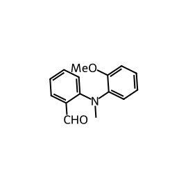 COc1ccccc1N(C)c1ccccc1C=O